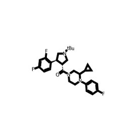 CC(C)(C)N1C[C@H](C(=O)N2CCN(c3ccc(F)cc3)C(C3CC3)C2)[C@@H](c2ccc(F)cc2F)C1